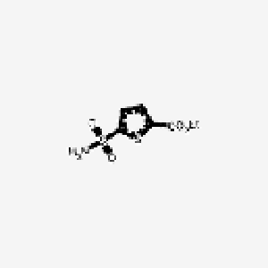 CCOC(=O)c1ccc(S(N)(=O)=O)s1